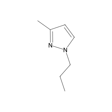 CCCn1ccc(C)n1